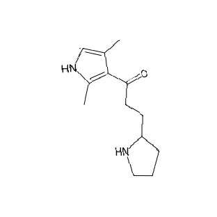 Cc1[c][nH]c(C)c1C(=O)CCC1CCCN1